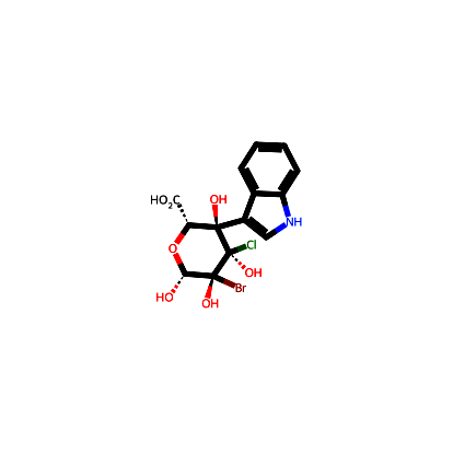 O=C(O)[C@H]1O[C@@H](O)[C@@](O)(Br)[C@](O)(Cl)[C@@]1(O)c1c[nH]c2ccccc12